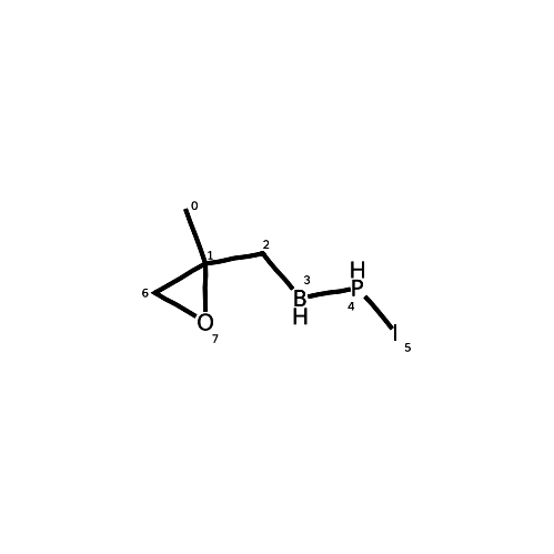 CC1(CBPI)CO1